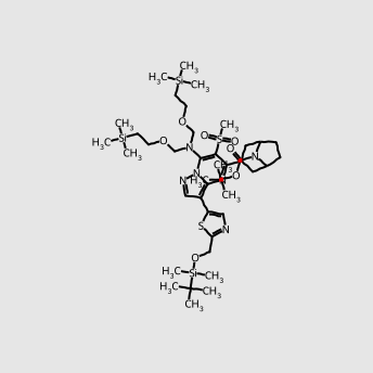 CC(C)(C)OC(=O)N1C2CCC1CC(c1nc3c(-c4cnc(CO[Si](C)(C)C(C)(C)C)s4)cnn3c(N(COCC[Si](C)(C)C)COCC[Si](C)(C)C)c1S(C)(=O)=O)C2